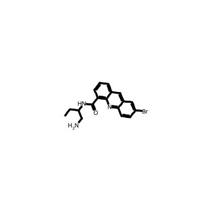 CCC(CN)NC(=O)c1cccc2cc3cc(Br)ccc3nc12